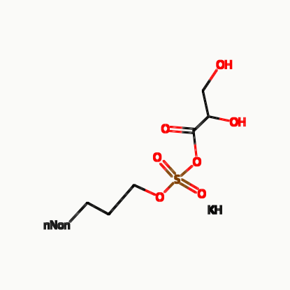 CCCCCCCCCCCCOS(=O)(=O)OC(=O)C(O)CO.[KH]